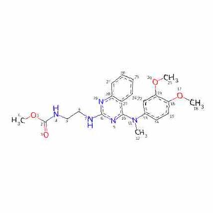 COC(=O)NCCNc1nc(N(C)c2ccc(OC)c(OC)c2)c2ccccc2n1